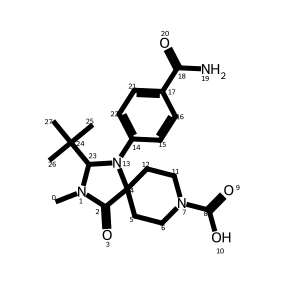 CN1C(=O)C2(CCN(C(=O)O)CC2)N(c2ccc(C(N)=O)cc2)C1C(C)(C)C